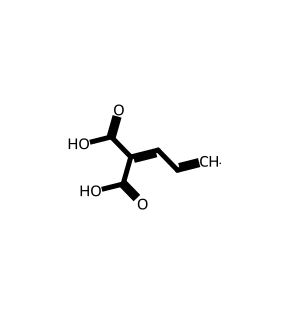 [CH]=CC=C(C(=O)O)C(=O)O